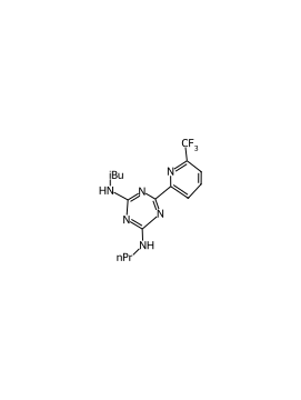 CCCNc1nc(NC(C)CC)nc(-c2cccc(C(F)(F)F)n2)n1